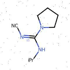 CC(C)N/C(=N/C#N)N1CCCC1